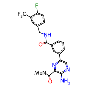 CNC(=O)c1nc(-c2cccc(C(=O)NCc3ccc(F)c(C(F)(F)F)c3)c2)cnc1N